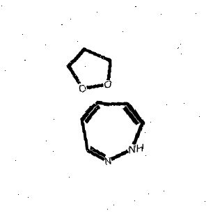 C1=CC=NNC=C1.C1COOC1